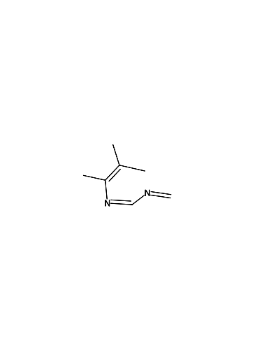 C=N/C=N\C(C)=C(C)C